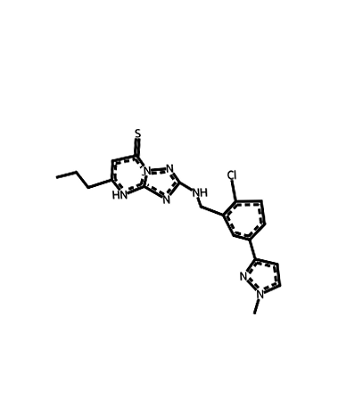 CCCc1cc(=S)n2nc(NCc3cc(-c4ccn(C)n4)ccc3Cl)nc2[nH]1